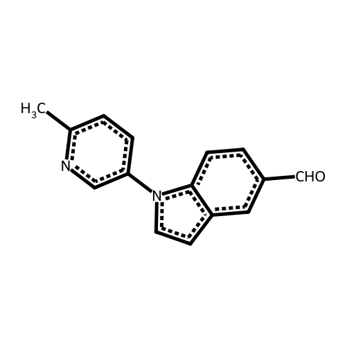 Cc1ccc(-n2ccc3cc(C=O)ccc32)cn1